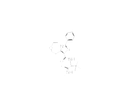 CNC(=O)C(NC(=O)c1nc(-c2ccccc2)n2c1CCOCC2)C(C)(C)C